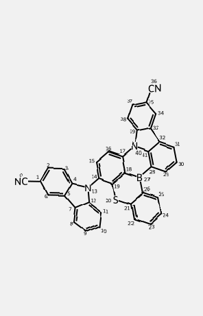 N#Cc1ccc2c(c1)c1ccccc1n2-c1ccc2c3c1Sc1ccccc1B3c1cccc3c4cc(C#N)ccc4n-2c13